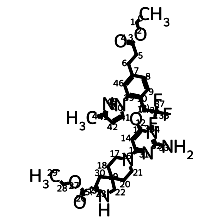 CCOC(=O)CCc1ccc([C@@H](Oc2cc(N3CCC4(CC3)CN[C@H](C(=O)OCC)C4)nc(N)n2)C(F)(F)F)c(-n2ccc(C)n2)c1